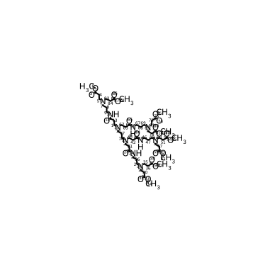 COC(=O)CCN(CCCNC(=O)CCN(CCCN(CCC(=O)NCCCN(CCC(=O)OC)CCC(=O)OC)CCC(=O)NCCCN(CCC(=O)OC)CCC(=O)OC)CCC(=O)NCCCN(CCC(=O)OC)CCC(=O)OC)CCC(=O)OC